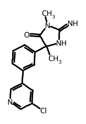 CN1C(=N)NC(C)(c2cccc(-c3cncc(Cl)c3)c2)C1=O